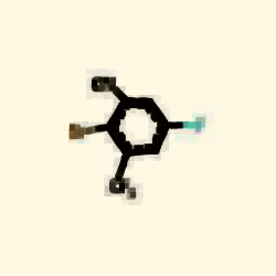 O=Nc1cc(F)cc(C(F)(F)F)c1Br